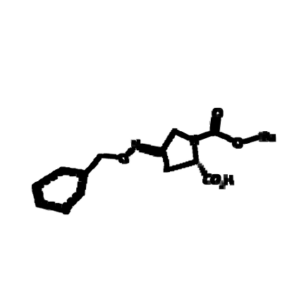 CC(C)(C)OC(=O)N1CC(=NOCc2ccccc2)C[C@H]1C(=O)O